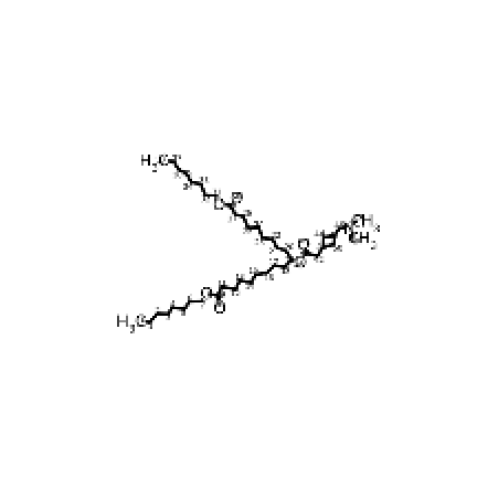 CCCCCCCCOC(=O)CCCCCCCCC(CCCCCCCCC(=O)OCCCCCCCC)OC(=O)CC1CC(CN(C)C)C1